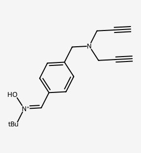 C#CCN(CC#C)Cc1ccc(/C=[N+](\O)C(C)(C)C)cc1